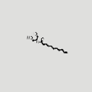 C=CCCCCCCCCC(=O)OC(CO)CO